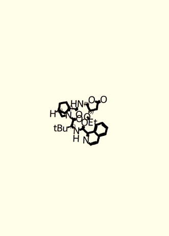 CCO[C@H]1CC(=O)O[C@H]1NC(=O)[C@@]12CC[C@@H](CN1C(=O)[C@@H](NC(=O)c1nccc3ccccc13)C(C)(C)C)C2